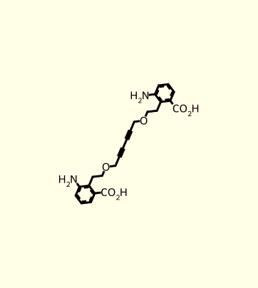 Nc1cccc(C(=O)O)c1CCOCC#CC#CCOCCc1c(N)cccc1C(=O)O